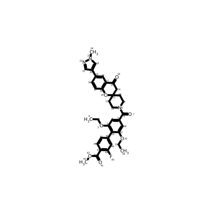 CCOc1cc(C(=O)N2CCC3(CC2)CC(=O)c2cc(-c4cnn(C)c4)ccc2O3)cc(OCC)c1-c1ccc(C(=O)OC)c(F)c1